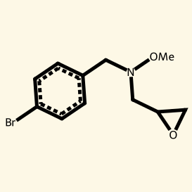 CON(Cc1ccc(Br)cc1)CC1CO1